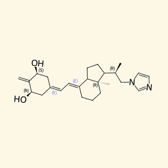 C=C1[C@H](O)C/C(=C/C=C2\CCC[C@@]3(C)C2CCC3[C@@H](C)Cn2ccnc2)C[C@@H]1O